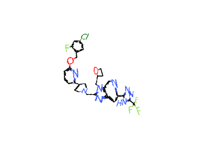 Fc1cc(Cl)ccc1COc1cccc(C2=CCN(Cc3nc4cc(-c5nnc(C(F)(F)F)[nH]5)ncc4n3CC3CCO3)CC2)n1